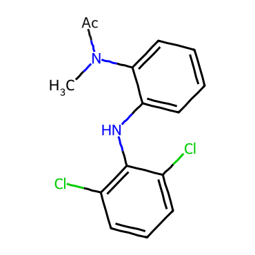 CC(=O)N(C)c1ccccc1Nc1c(Cl)cccc1Cl